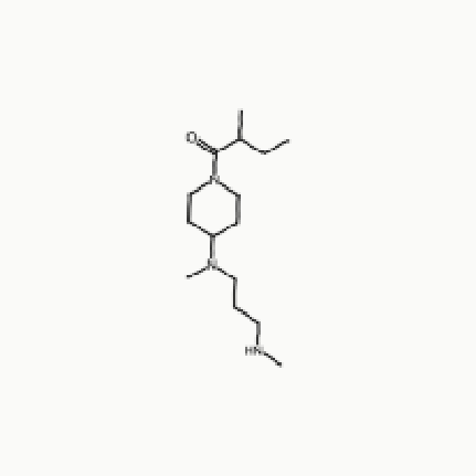 CCC(C)C(=O)N1CCC(N(C)CCCNC)CC1